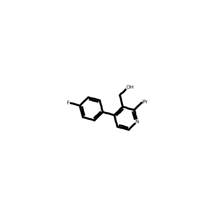 CC(C)c1nccc(-c2ccc(F)cc2)c1CO